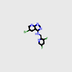 Fc1cnc(CNc2ncnc3ncc(Br)cc23)c(F)c1